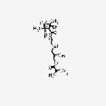 C=C(C)C(=O)OCC(O)CNCCOC(=O)C(C(C)(C)CC)C(C)(C)CC